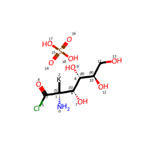 N[C@@]([K])(C(=O)Cl)[C@@H](O)[C@H](O)[C@H](O)CO.O=S(=O)(O)O